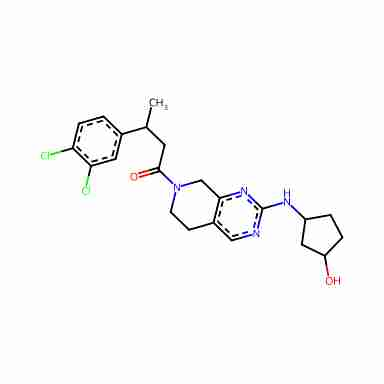 CC(CC(=O)N1CCc2cnc(NC3CCC(O)C3)nc2C1)c1ccc(Cl)c(Cl)c1